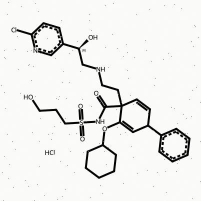 Cl.O=C(NS(=O)(=O)CCCO)C1(CCNC[C@H](O)c2ccc(Cl)nc2)C=CC(c2ccccc2)C=C1OC1CCCCC1